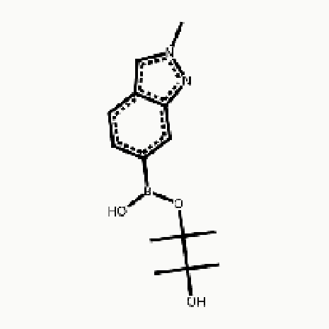 Cn1cc2ccc(B(O)OC(C)(C)C(C)(C)O)cc2n1